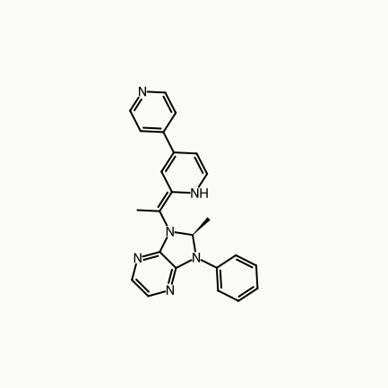 C/C(=C1\C=C(c2ccncc2)C=CN1)N1c2nccnc2N(c2ccccc2)[C@@H]1C